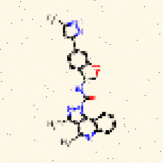 Cc1nc2ccccc2c2c1c(C)nn2C(=O)N[C@@H]1COc2cc(-c3cc(C(F)(F)F)[nH]n3)ccc21